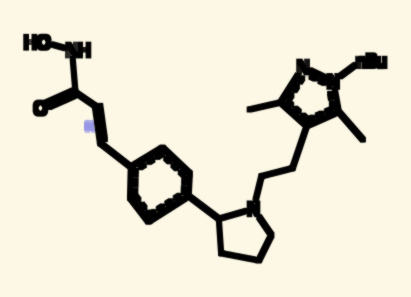 CCCCn1nc(C)c(CCN2CCCC2c2ccc(/C=C/C(=O)NO)cc2)c1C